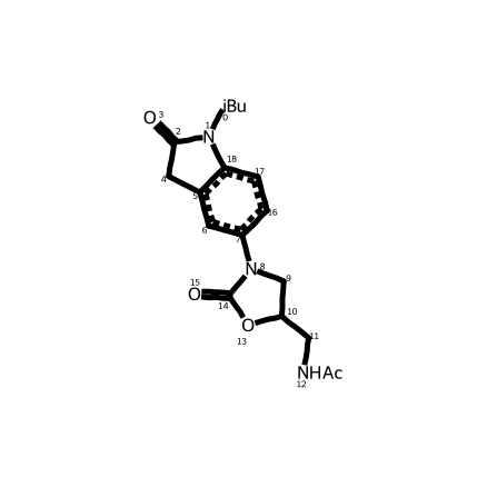 CCC(C)N1C(=O)Cc2cc(N3CC(CNC(C)=O)OC3=O)ccc21